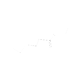 CCNC(=O)CCSCC